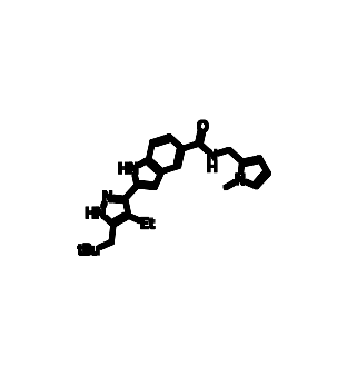 CCc1c(-c2cc3cc(C(=O)NCc4cccn4C)ccc3[nH]2)n[nH]c1CC(C)(C)C